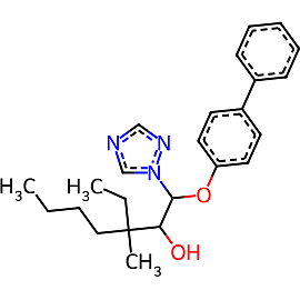 CCCCC(C)(CC)C(O)C(Oc1ccc(-c2ccccc2)cc1)n1cncn1